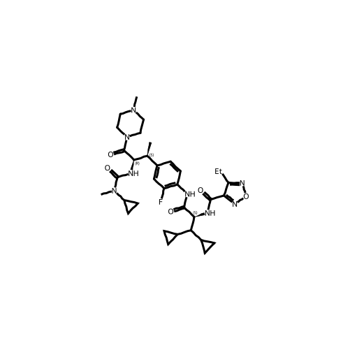 CCc1nonc1C(=O)N[C@H](C(=O)Nc1ccc([C@H](C)[C@@H](NC(=O)N(C)C2CC2)C(=O)N2CCN(C)CC2)cc1F)C(C1CC1)C1CC1